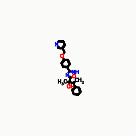 CC(c1ccccc1)C(C)(O)C1=NC(c2ccc(OCc3cccnc3)cc2)NO1